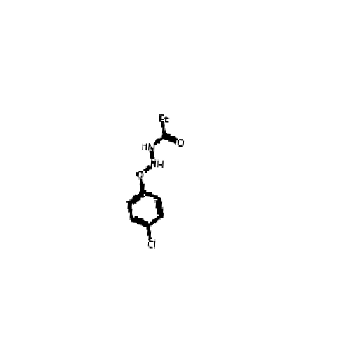 CCC(=O)NNOc1ccc(Cl)cc1